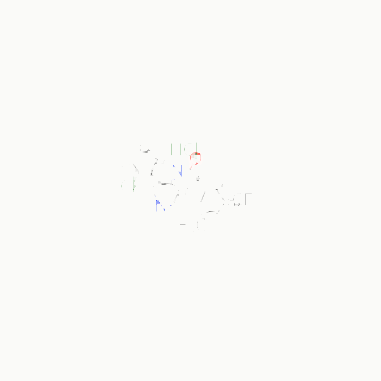 CN(C(=O)C(C)(C)c1cc(C(F)(F)F)cc(C(F)(F)F)c1)c1ccncc1-c1ccccc1Cl.Cl